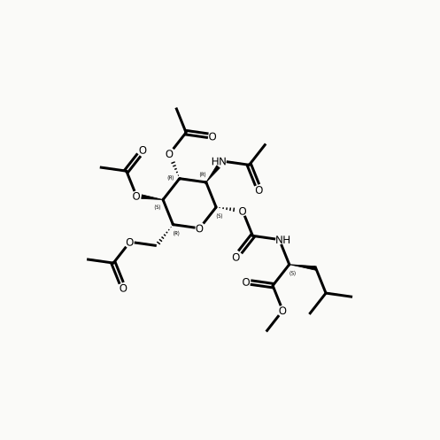 COC(=O)[C@H](CC(C)C)NC(=O)O[C@@H]1O[C@H](COC(C)=O)[C@@H](OC(C)=O)[C@H](OC(C)=O)[C@H]1NC(C)=O